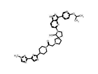 CC(C)Oc1ccc(-c2n[nH]c3ccc(N4CC[C@]5(CCN(CC(=O)N6CCC(c7ncc(-c8ncn(C)n8)s7)CC6)C5)C4O)nc23)cn1